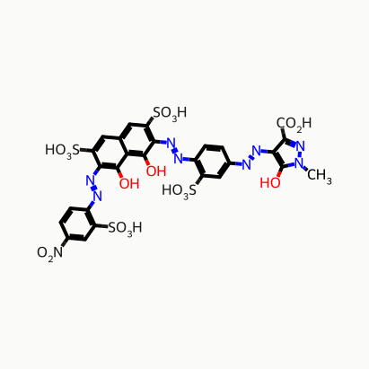 Cn1nc(C(=O)O)c(/N=N/c2ccc(/N=N/c3c(S(=O)(=O)O)cc4cc(S(=O)(=O)O)c(/N=N/c5ccc([N+](=O)[O-])cc5S(=O)(=O)O)c(O)c4c3O)c(S(=O)(=O)O)c2)c1O